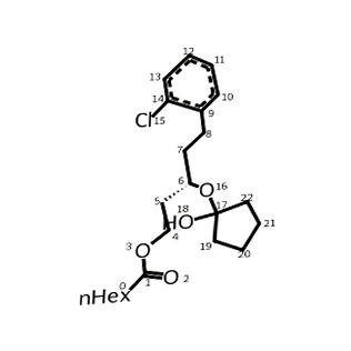 CCCCCCC(=O)OCC[C@H](CCc1ccccc1Cl)OC1(O)CCCC1